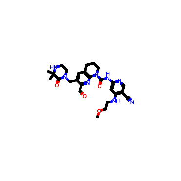 COCCNc1cc(NC(=O)N2CCCc3cc(CN4CCNC(C)(C)C4=O)c(C=O)nc32)ncc1C#N